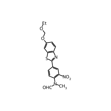 CCOCOc1ccc2nc(-c3ccc(N(C)C=O)c([N+](=O)[O-])c3)sc2c1